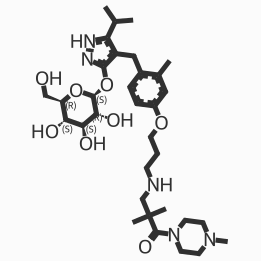 Cc1cc(OCCCNCC(C)(C)C(=O)N2CCN(C)CC2)ccc1Cc1c(O[C@@H]2O[C@H](CO)[C@@H](O)[C@H](O)[C@H]2O)n[nH]c1C(C)C